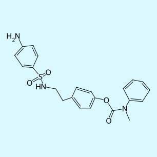 CN(C(=O)Oc1ccc(CCNS(=O)(=O)c2ccc(N)cc2)cc1)c1ccccc1